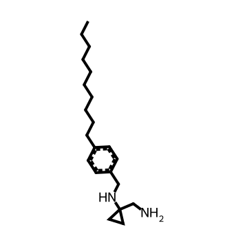 CCCCCCCCCCc1ccc(CNC2(CN)CC2)cc1